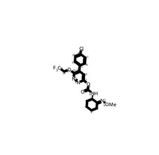 CO/N=C1\CCCC[C@H]1NC(=O)Oc1cc(-c2ccc(Cl)cc2)c(OCC(F)(F)F)nn1